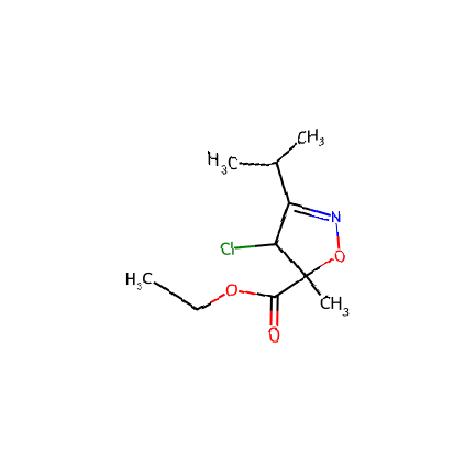 CCOC(=O)C1(C)ON=C(C(C)C)C1Cl